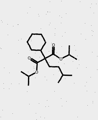 CC(C)CCC(C(=O)OC(C)C)(C(=O)OC(C)C)C1CCCCC1